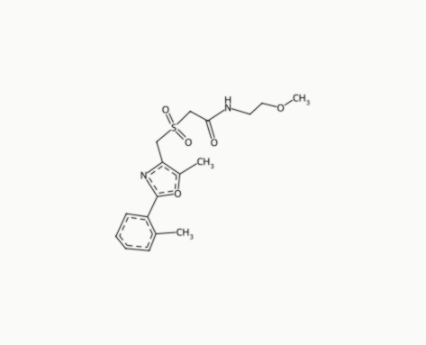 COCCNC(=O)CS(=O)(=O)Cc1nc(-c2ccccc2C)oc1C